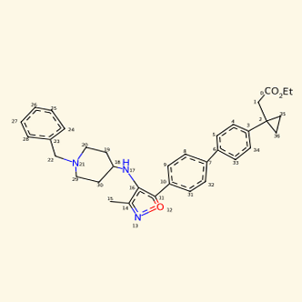 CCOC(=O)CC1(c2ccc(-c3ccc(-c4onc(C)c4NC4CCN(Cc5ccccc5)CC4)cc3)cc2)CC1